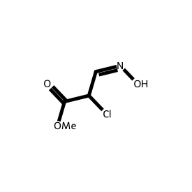 COC(=O)C(Cl)/C=N\O